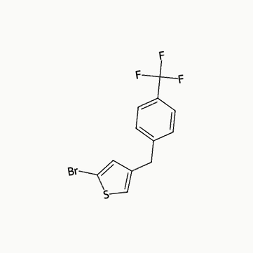 FC(F)(F)c1ccc(Cc2csc(Br)c2)cc1